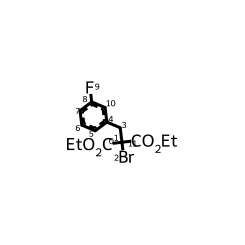 CCOC(=O)C(Br)(Cc1cccc(F)c1)C(=O)OCC